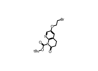 CC(C)(C)OC(=O)N1C(=O)CCc2cc(OCCBr)cnc21